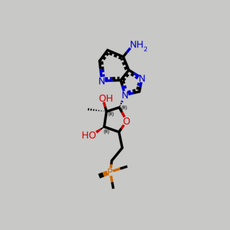 C=P(C)(C)CCC1O[C@@H](n2cnc3c(N)ccnc32)[C@](C)(O)[C@@H]1O